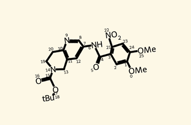 COc1cc(C(=O)Nc2cnc3c(c2)CN(C(=O)OC(C)(C)C)CC3)c([N+](=O)[O-])cc1OC